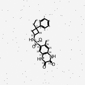 CCC1(c2ccccc2)CC(NS(=O)(=O)c2cc3[nH]c(=O)c(=O)[nH]c3cc2C)C1